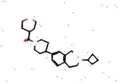 O=C(C1CCOCC1)N1CCC(c2ccc3c(c2)CCN(C2CCC2)CC3)CC1